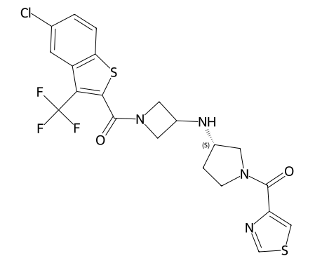 O=C(c1cscn1)N1CC[C@H](NC2CN(C(=O)c3sc4ccc(Cl)cc4c3C(F)(F)F)C2)C1